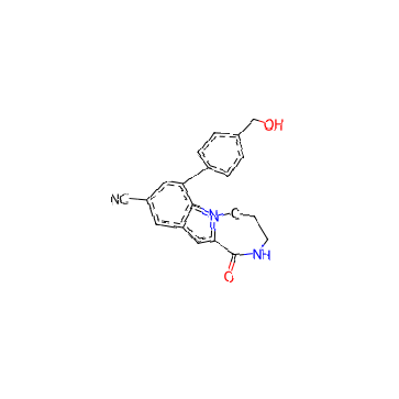 N#Cc1cc(-c2ccc(CO)cc2)c2c(c1)cc1n2CCCNC1=O